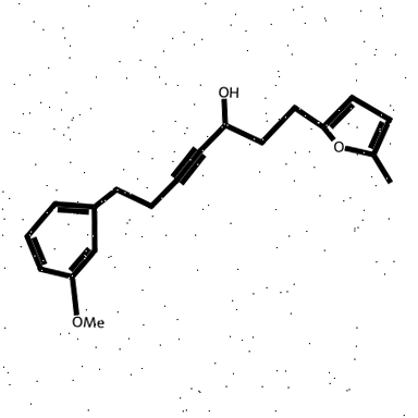 COc1cccc(CCC#CC(O)CCc2ccc(C)o2)c1